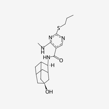 CCCSc1ncc(C(=O)N[C@H]2C3CC4CC2C[C@@](O)(C4)C3)c(NC)n1